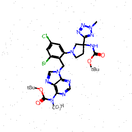 Cn1nnc(C2(NC(=O)OC(C)(C)C)CCN(c3cc(Cl)cc(Br)c3Cn3cnc4c(N(C(=O)O)C(=O)OC(C)(C)C)ncnc43)C2)n1